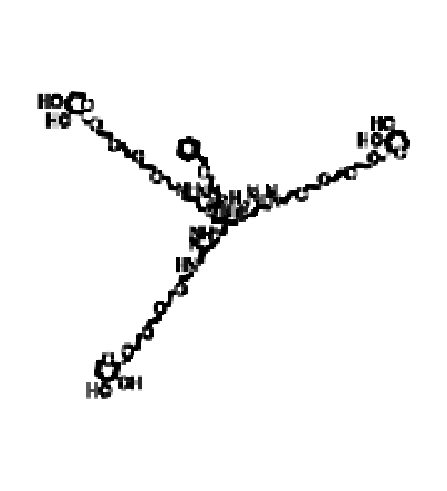 N=N/C(=C\NCCOCCOCCOCCOC[C@H]1OCC[C@@H](O)[C@H]1O)COCC(COC/C(N)=C/NCCOCCOCCOCCOC[C@H]1OCC[C@@H](O)[C@H]1O)(COC/C(N)=C/N(N)CCOCCOCCOCCOC[C@H]1OCC[C@@H](O)[C@H]1O)NC(=O)CCCOCc1ccccc1